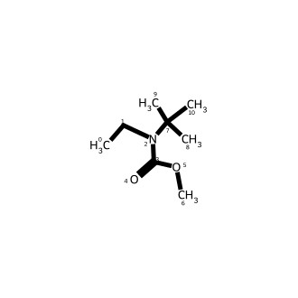 CCN(C(=O)OC)C(C)(C)C